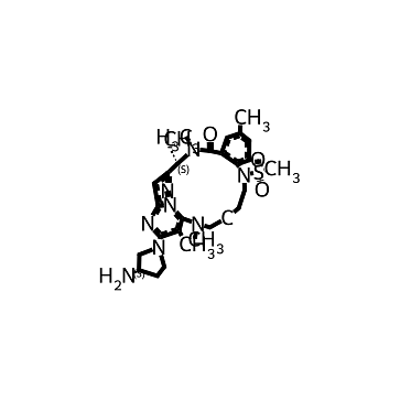 CC[C@H]1c2cc3nc(N4CC[C@H](N)C4)c(C)c(n3n2)N(C)CCCCN(S(C)(=O)=O)c2ccc(C)cc2C(=O)N1C